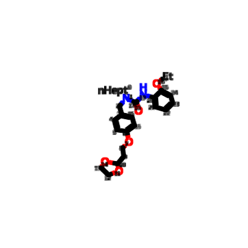 CCCCCCCN(Cc1ccc(OCCC2OCCO2)cc1)C(=O)Nc1ccccc1OCC